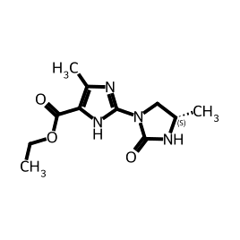 CCOC(=O)c1[nH]c(N2C[C@H](C)NC2=O)nc1C